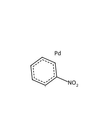 O=[N+]([O-])c1[c]cccc1.[Pd]